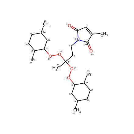 CC1=CC(=O)N(CCC(C)(OOC2CC(C)CCC2C(C)C)OOC2CC(C)CCC2C(C)C)C1=O